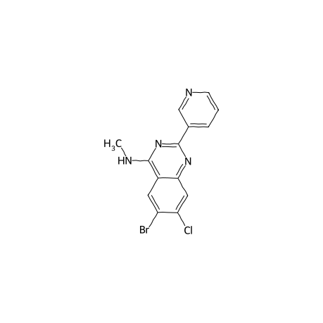 CNc1nc(-c2cccnc2)nc2cc(Cl)c(Br)cc12